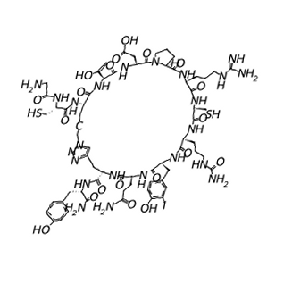 C=C(O)[C@@H]1NC(=O)[C@@H](NC(=O)[C@H](CS)NC(=O)CN)CCCn2cc(nn2)C[C@@H](C(=O)N[C@@H](Cc2ccc(O)cc2)C(N)=O)NC(=O)[C@H](CCC(N)=O)NC(=O)[C@H](Cc2ccc(O)c(I)c2)NC(=O)[C@H](CCCNC(N)=O)NC(=O)[C@H](CS)NC(=O)[C@H](CCCNC(=N)N)NC(=O)[C@@H]2CCCN2C(=O)[C@H](CC(=O)O)NC1=O